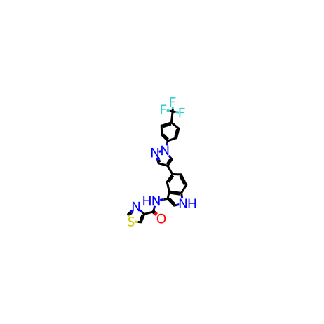 O=C(Nc1c[nH]c2ccc(-c3cnn(-c4ccc(C(F)(F)F)cc4)c3)cc12)c1cscn1